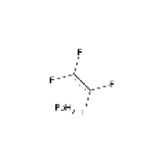 FC(F)=C(F)F.[PbH2]